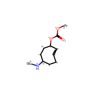 CC(C)OC(=O)OC1/C=C/CCC(NC(C)(C)C)CC1